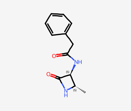 C[C@@H]1NC(=O)[C@H]1NC(=O)Cc1ccccc1